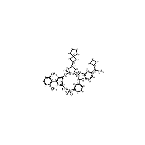 Cc1cccc(C)c1-c1cc2nc(n1)NS(=O)(=O)c1cccc(c1)C(=O)N(Cc1cncc(N(C)C3CCC3)n1)[C@@H]1CN(C3CC4(CCCC4)C3)C[C@H]1O2